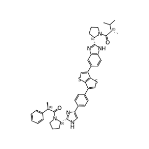 CC(C)[C@H](C)C(=O)N1CCC[C@H]1c1nc2cc(-c3csc4c(-c5ccc(-c6c[nH]c([C@@H]7CCCN7C(=O)[C@H](C)c7ccccc7)n6)cc5)csc34)ccc2[nH]1